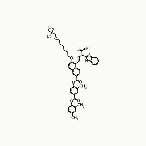 CCCC(=O)N(/N=C/c1c(OCCCCCCOCC2(CC)COC2)ccc2cc(C(=O)Oc3ccc(C(=O)Oc4ccc(C)cc4C)cc3C)ccc12)c1nc2ccccc2s1